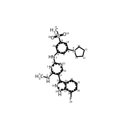 CNc1nc(Nc2cc(N3CCCC3)cc(S(C)(=O)=O)c2)ncc1-c1n[nH]c2c(F)cccc12